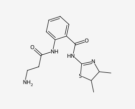 CC1N=C(NC(=O)c2ccccc2NC(=O)CCN)SC1C